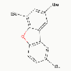 CC(C)(C)c1ccc2oc3c(C(C)(C)C)cc(C(C)(C)C)cc3c2c1